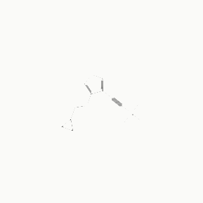 C[Si](C)(C)C#Cc1cscc1OCC1CC1